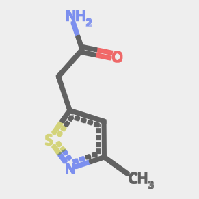 Cc1cc(CC(N)=O)sn1